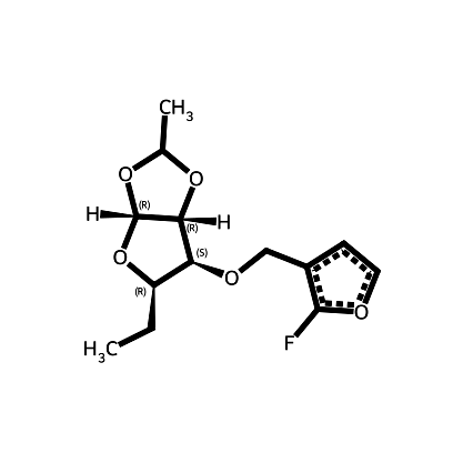 CC[C@H]1O[C@@H]2OC(C)O[C@@H]2[C@H]1OCc1ccoc1F